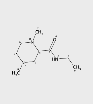 CCNC(=O)C1CN(C)CCN1C